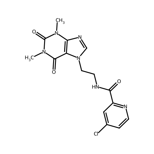 Cn1c(=O)c2c(ncn2CCNC(=O)c2cc(Cl)ccn2)n(C)c1=O